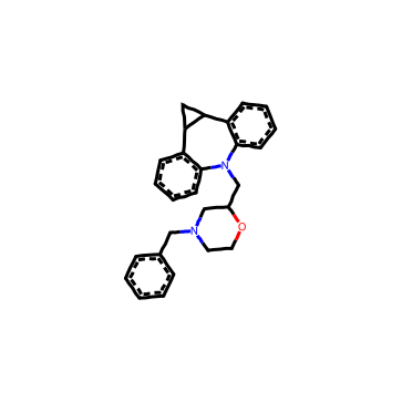 c1ccc(CN2CCOC(CN3c4ccccc4C4CC4c4ccccc43)C2)cc1